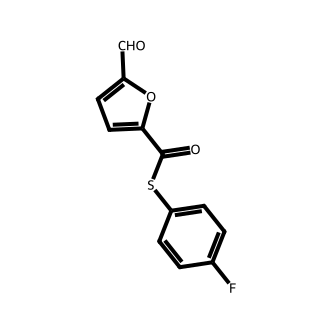 O=Cc1ccc(C(=O)Sc2ccc(F)cc2)o1